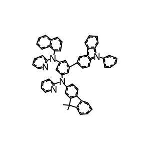 CC1(C)c2ccccc2-c2ccc(N(c3cc(-c4ccc5c(c4)c4ccccc4n5-c4ccccc4)cc(N(c4ccccn4)c4cccc5ccccc45)c3)c3ccccn3)cc21